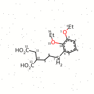 CCOc1cccc([SiH2]CCC(CC(=O)O)C(=O)O)c1OCC